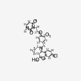 COc1cc(CN(CC2CC2)C(CC(=O)O)c2ccc(Cl)cc2)ccc1OCCn1c(=O)ccn(C)c1=O